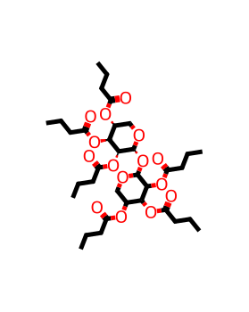 CCCC(=O)OC1COC(O[C@H]2OC[C@@H](OC(=O)CCC)[C@H](OC(=O)CCC)[C@H]2OC(=O)CCC)C(OC(=O)CCC)C1OC(=O)CCC